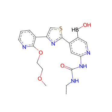 CCNC(=O)Nc1cc(-c2nc(-c3cccnc3OCCOC)cs2)c(BO)cn1